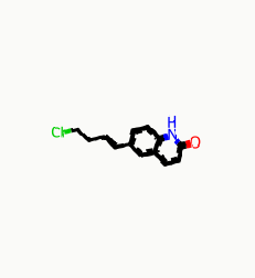 O=c1ccc2cc(/C=C/CCCl)ccc2[nH]1